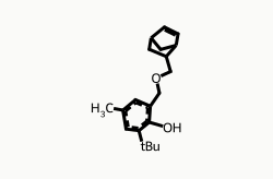 Cc1cc(COCC2CC3C=CC2C3)c(O)c(C(C)(C)C)c1